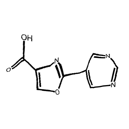 O=C(O)c1coc(-c2cncnc2)n1